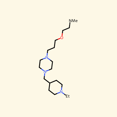 CCN1CCC(CN2CCN(CCCOCCNC)CC2)CC1